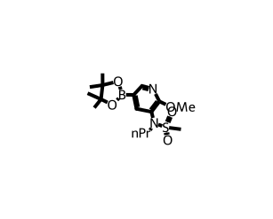 CCCN(c1cc(B2OC(C)(C)C(C)(C)O2)cnc1OC)S(C)(=O)=O